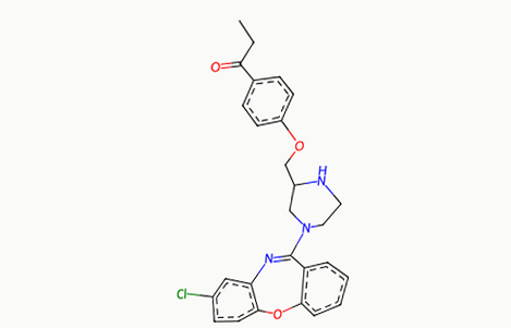 CCC(=O)c1ccc(OCC2CN(C3=Nc4cc(Cl)ccc4Oc4ccccc43)CCN2)cc1